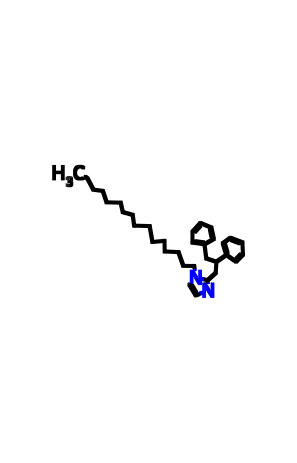 CCCCCCCCCCCCCCCCn1ccnc1CC(Cc1ccccc1)c1ccccc1